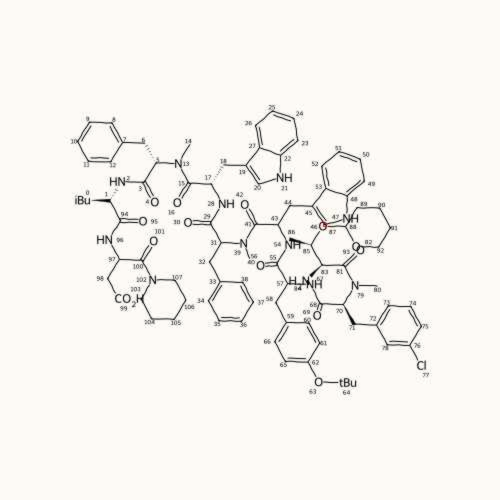 CC[C@H](C)[C@H](NC(=O)[C@H](Cc1ccccc1)N(C)C(=O)[C@H](Cc1c[nH]c2ccccc12)NC(=O)C(Cc1ccccc1)N(C)C(=O)C(Cc1c[nH]c2ccccc12)NC(=O)C(Cc1ccc(OC(C)(C)C)cc1)NC(=O)[C@H](Cc1cccc(Cl)c1)N(C)C(=O)[C@@H](N)[C@@H](C)OC1CCCCO1)C(=O)NC(CC(=O)O)C(=O)N1CCCCC1